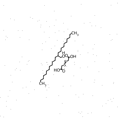 CCCCCCCCCCCCC(CO)CCCCCCCCCC.O=C(O)CSSCC(=O)O